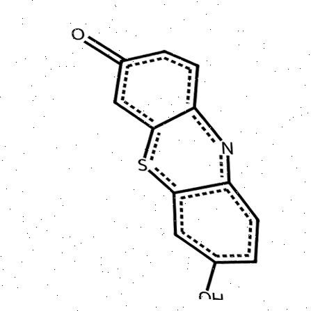 O=c1ccc2nc3ccc(O)cc3sc-2c1